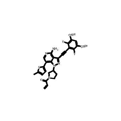 C=CC(=O)N1CCC(n2nc(C#Cc3c(F)c(OC)cc(OC)c3F)c3c(N)ncc(-c4ccc(C)s4)c32)C1